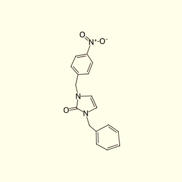 O=c1n(Cc2ccccc2)ccn1Cc1ccc([N+](=O)[O-])cc1